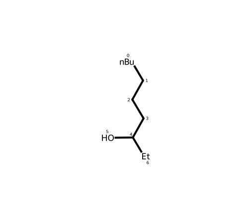 [CH2]CCCCCCC(O)CC